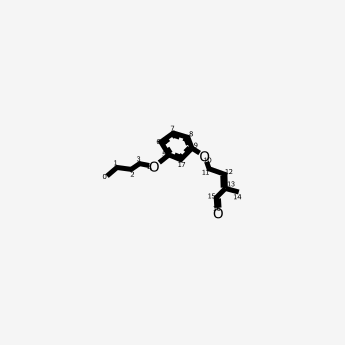 CCCCOc1cccc(OCC=C(C)C=O)c1